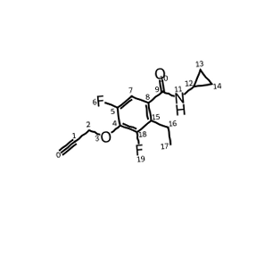 C#CCOc1c(F)cc(C(=O)NC2CC2)c(CC)c1F